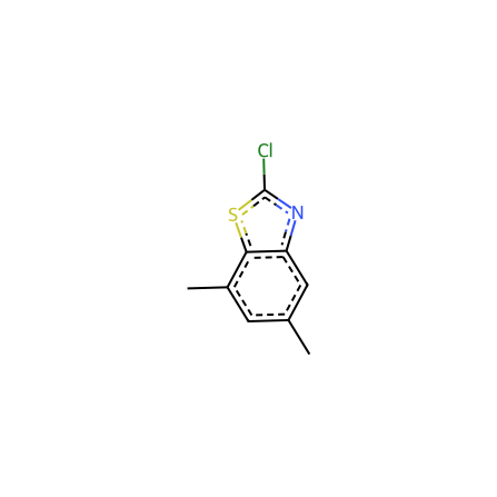 Cc1cc(C)c2sc(Cl)nc2c1